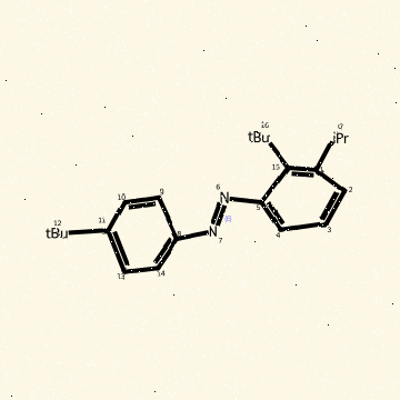 CC(C)c1cccc(/N=N/c2ccc(C(C)(C)C)cc2)c1C(C)(C)C